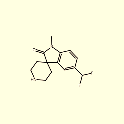 CN1C(=O)C2(CCNCC2)c2cc(C(F)F)ccc21